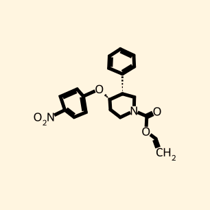 C=COC(=O)N1CC[C@H](Oc2ccc([N+](=O)[O-])cc2)[C@H](c2ccccc2)C1